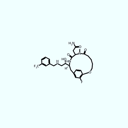 CN1C(=O)CCCCOc2ccc(cc2F)C[C@@H]([C@H](O)CNCc2cccc(C(F)(F)F)c2)NC(=O)C1CC(N)=O